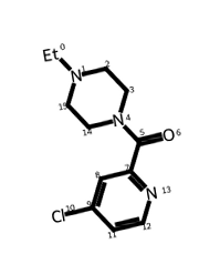 CCN1CCN(C(=O)c2cc(Cl)ccn2)CC1